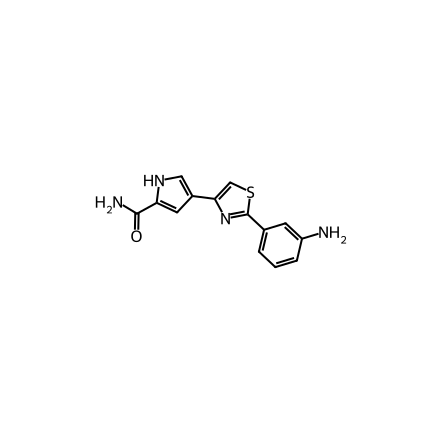 NC(=O)c1cc(-c2csc(-c3cccc(N)c3)n2)c[nH]1